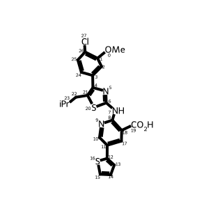 COc1cc(-c2nc(Nc3ncc(-c4cccs4)cc3C(=O)O)sc2CC(C)C)ccc1Cl